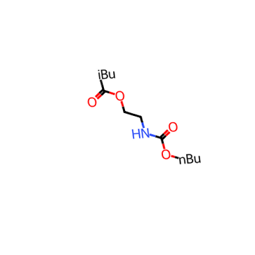 CCCCOC(=O)NCCOC(=O)C(C)CC